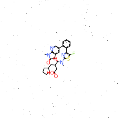 CN(C(=O)C(CC(=O)O)CC1CCCC1)c1nc(-c2ccccc2-c2cnc3c(c2)CC(=O)N3C)c(F)s1